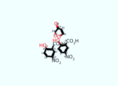 O=C(O)c1cc([N+](=O)[O-])ccc1O.O=C(O)c1cc([N+](=O)[O-])ccc1O.O=C1C=COOC1